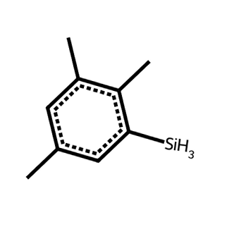 Cc1cc(C)c(C)c([SiH3])c1